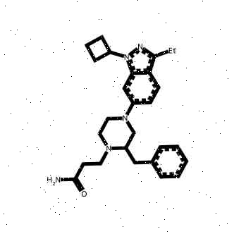 CCc1nn(C2CCC2)c2cc(N3CCN(CCC(N)=O)C(Cc4ccccc4)C3)ccc12